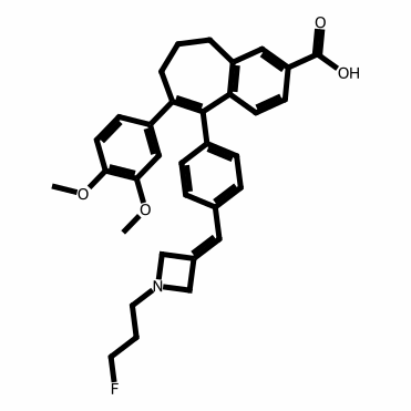 COc1ccc(C2=C(c3ccc(C=C4CN(CCCF)C4)cc3)c3ccc(C(=O)O)cc3CCC2)cc1OC